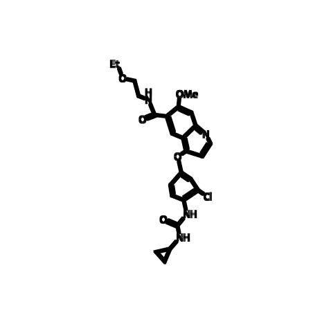 CCOCCNC(=O)c1cc2c(Oc3ccc(NC(=O)NC4CC4)c(Cl)c3)ccnc2cc1OC